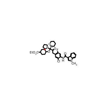 CCOC(=O)C1CCC(OC(C(=O)Cc2cc(Cl)c(NC(=O)c3cn(C)c4ccccc34)cc2F)(N2CCCC2)N2CCCCO2)CC1